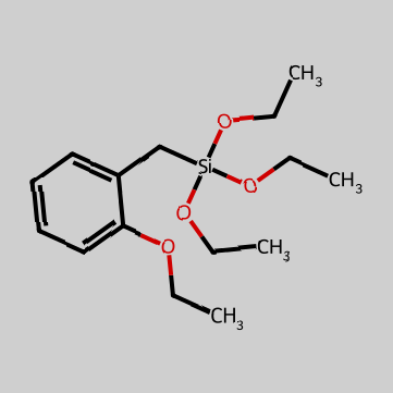 CCOc1ccccc1C[Si](OCC)(OCC)OCC